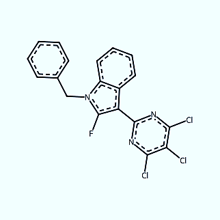 Fc1c(-c2nc(Cl)c(Cl)c(Cl)n2)c2ccccc2n1Cc1ccccc1